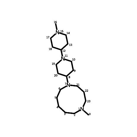 CN1CCCCCN(C2CCN(C3CCN(C)CC3)CC2)CCC1